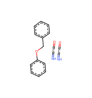 N=C=O.N=C=O.c1ccc(COc2ccccc2)cc1